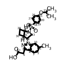 Cc1ccc2c(CC(=O)O)nn([C@H]3CN(S(=O)(=O)c4ccc(OC(C)C)cc4)[C@@H]4CC[C@@H]43)c2c1